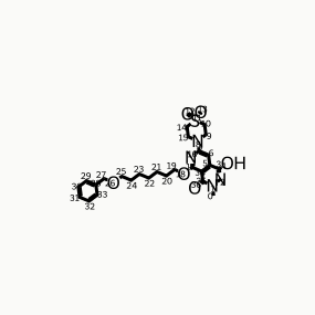 Cn1nc(O)c2cc(N3CCS(=O)(=O)CC3)nc(OCCCCCCCOCc3ccccc3)c2c1=O